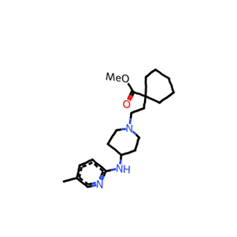 COC(=O)C1(CCN2CCC(Nc3ccc(C)cn3)CC2)CCCCC1